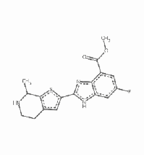 COC(=O)c1cc(F)cc2[nH]c(-c3cc4c(s3)C(C)NCC4)nc12